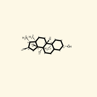 C[C@]12CC[C@H]3[C@@H](CCC4C[C@@H](O)CC[C@@]43C)[C@@H]1C[C@@H](F)[C@@H]2N